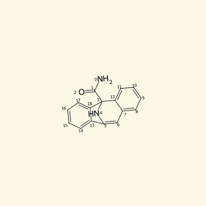 NC(=O)C12NC(=Cc3ccccc31)c1ccccc12